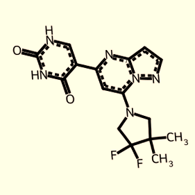 CC1(C)CN(c2cc(-c3c[nH]c(=O)[nH]c3=O)nc3ccnn23)CC1(F)F